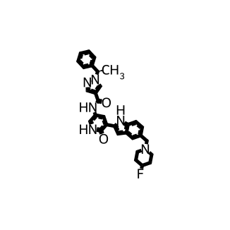 C[C@@H](c1ccccc1)n1cc(C(=O)Nc2c[nH]c(=O)c(-c3cc4cc(CN5CCC(F)CC5)ccc4[nH]3)c2)cn1